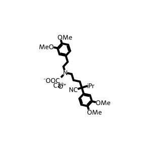 COc1ccc(CCN(C)CCCC(C#N)(c2ccc(OC)c(OC)c2)C(C)C)cc1OC.O=C([O-])[O-].[Ca+2]